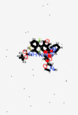 CN1CCO[C@@H](COc2nc(N3C4CCC3CN(C(=O)OC(C)(C)C)C4)c3c4c(c(-c5c(F)ccc6sc(NC(=O)OC(C)(C)C)c(C#N)c56)c(F)c3n2)COC4)C1